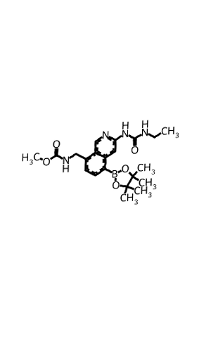 CCNC(=O)Nc1cc2c(B3OC(C)(C)C(C)(C)O3)ccc(CNC(=O)OC)c2cn1